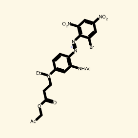 CCN(CCC(=O)OCC(C)=O)c1ccc(/N=N/c2c(Br)cc([N+](=O)[O-])cc2[N+](=O)[O-])c(NC(C)=O)c1